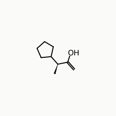 C=C(O)[C@@H](C)C1CCCC1